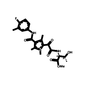 COC(=O)[C@H](NC(=O)C(=O)c1c(C)c(C(=O)Nc2ccc(F)c(C)c2)c(C)n1C)[C@@H](C)O